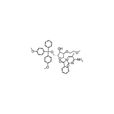 COCCO[C@@H]1[C@H](O)[C@@H](COC(c2ccccc2)(c2ccc(OC)cc2)c2ccc(OC)cc2)O[C@H]1[N+]1(C(=O)c2ccccc2)C=C(C)C(N)=NC1=O